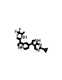 C=C(NC(C)C(F)(F)F)c1cnn2ccc(-c3c[nH]c4nc(C5CC5)ncc34)cc12